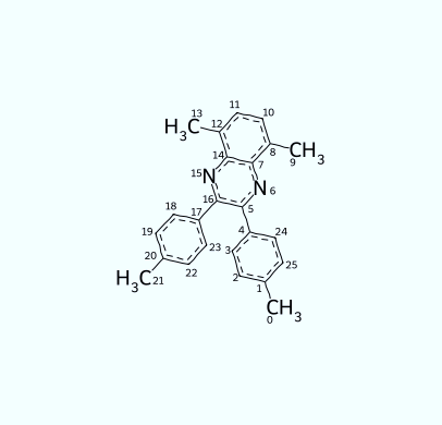 Cc1ccc(-c2nc3c(C)ccc(C)c3nc2-c2ccc(C)cc2)cc1